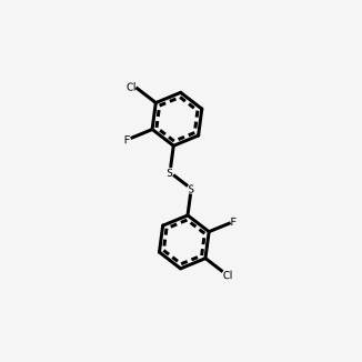 Fc1c(Cl)cccc1SSc1cccc(Cl)c1F